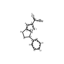 CCC(C)C(=O)c1nc2n(n1)C(c1ccccc1)CC2